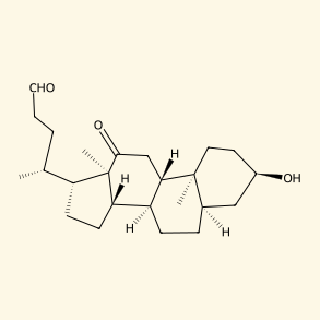 C[C@H](CCC=O)[C@H]1CC[C@H]2[C@@H]3CC[C@@H]4C[C@H](O)CC[C@]4(C)[C@H]3CC(=O)[C@]12C